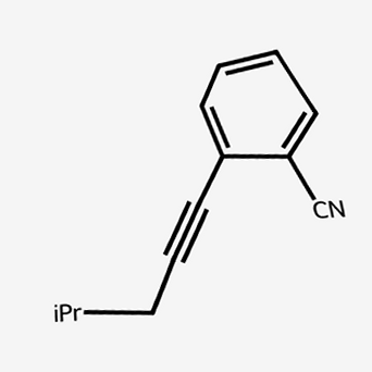 CC(C)CC#Cc1ccccc1C#N